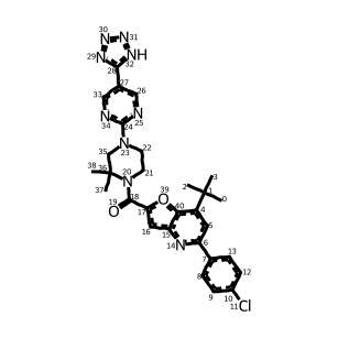 CC(C)(C)c1cc(-c2ccc(Cl)cc2)nc2cc(C(=O)N3CCN(c4ncc(-c5nnn[nH]5)cn4)CC3(C)C)oc12